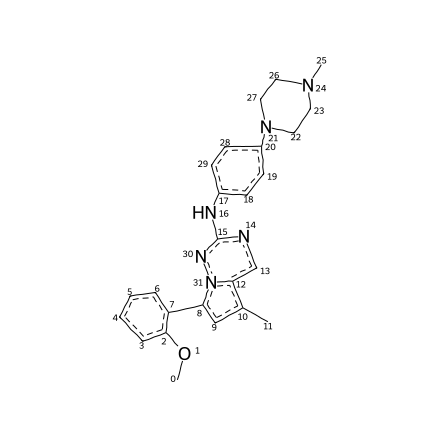 COc1ccccc1-c1cc(C)c2cnc(Nc3ccc(N4CCN(C)CC4)cc3)nn12